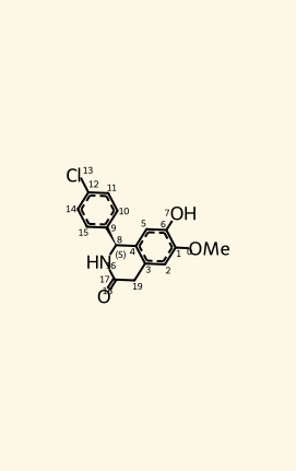 COc1cc2c(cc1O)[C@H](c1ccc(Cl)cc1)NC(=O)C2